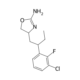 CCC(CC1COC(N)=N1)c1cccc(Cl)c1F